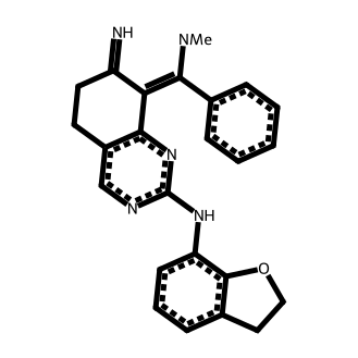 CN/C(=C1\C(=N)CCc2cnc(Nc3cccc4c3OCC4)nc21)c1ccccc1